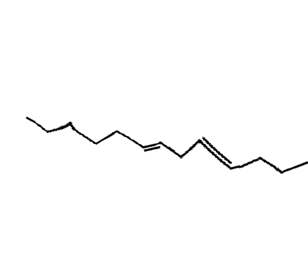 [CH2]CCC=CCC=CCCCCC